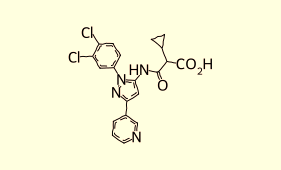 O=C(O)C(C(=O)Nc1cc(-c2cccnc2)nn1-c1ccc(Cl)c(Cl)c1)C1CC1